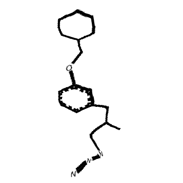 CC(CN=[N+]=[N-])Cc1cccc(OCC2CCCCC2)c1